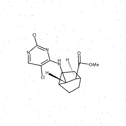 COC(=O)[C@H]1C2CCC(CC2)[C@@H]1Nc1nc(Cl)ncc1Cl